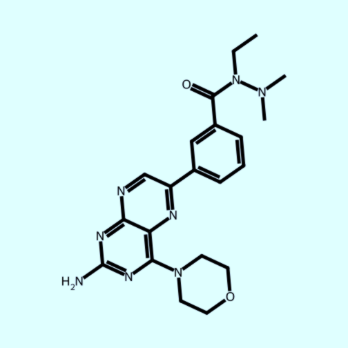 CCN(C(=O)c1cccc(-c2cnc3nc(N)nc(N4CCOCC4)c3n2)c1)N(C)C